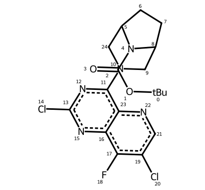 CC(C)(C)OC(=O)N1C2CCC1CN(c1nc(Cl)nc3c(F)c(Cl)cnc13)C2